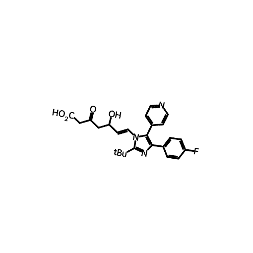 CC(C)(C)c1nc(-c2ccc(F)cc2)c(-c2ccncc2)n1C=CC(O)CC(=O)CC(=O)O